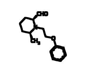 C[C@H]1CCC[C@@H](C=O)N1CCOc1ccccc1